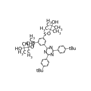 CB(OC(C)(C)C(C)(C)O)c1cc(SOC(C)(C)C(C)(C)O)cc(-c2nc(-c3ccc(C(C)(C)C)cc3)nc(-c3ccc(C(C)(C)C)cc3)n2)c1